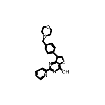 Oc1nc(-c2ccccn2)nc2c(-c3ccc(CN4CCOCC4)cc3)csc12